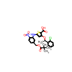 C[C@@H](Oc1cc(Nc2cc(COC(=O)C(C)(C)C)ccc2[N+](=O)[O-])sc1C(=O)O)c1ccccc1Cl